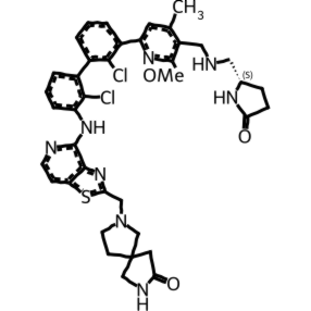 COc1nc(-c2cccc(-c3cccc(Nc4nccc5sc(CN6CCC7(CNC(=O)C7)C6)nc45)c3Cl)c2Cl)cc(C)c1CNC[C@@H]1CCC(=O)N1